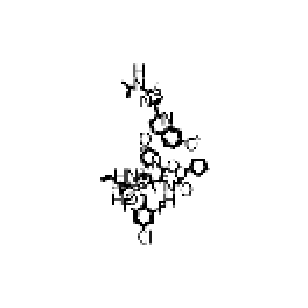 C=C[C@@H]1C[C@]1(NC(=O)[C@@H]1C[C@@H](Oc2cc(-c3csc(NC(C)C)n3)nc3cc(OC)ccc23)CN1C(=O)[C@@H](NC(=O)OC1CCCC1)C(C)(C)C)P(=O)(O)Cc1c(F)cc(Cl)cc1F